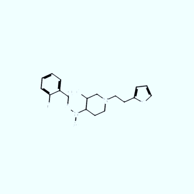 CC(=O)N(OCc1ccccc1F)C1CCN(CCc2cccs2)CC1C